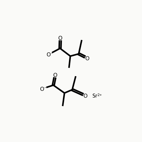 CC(=O)C(C)C(=O)[O-].CC(=O)C(C)C(=O)[O-].[Sr+2]